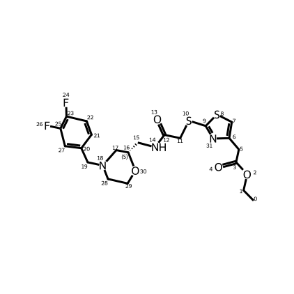 CCOC(=O)Cc1csc(SCC(=O)NC[C@H]2CN(Cc3ccc(F)c(F)c3)CCO2)n1